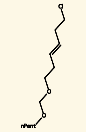 CCCCCOCOCC/C=C/CCCl